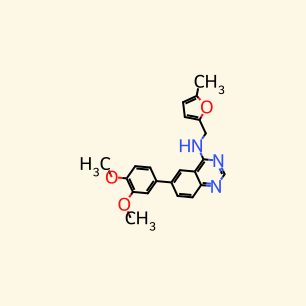 COc1ccc(-c2ccc3ncnc(NCc4ccc(C)o4)c3c2)cc1OC